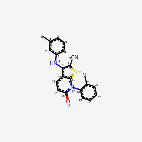 Cc1cccc(Nc2c(C#N)sc3c2ccc(=O)n3-c2ccccc2C)c1